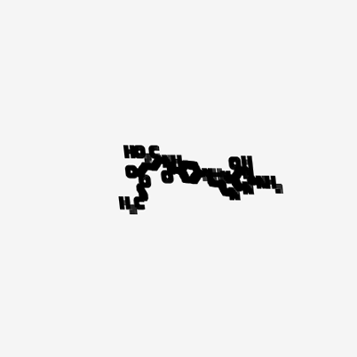 C=CCOC(=O)CCC(NC(=O)c1ccc(NCc2cnc3nc(N)[nH]c(=O)c3n2)cc1)C(=O)O